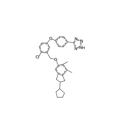 Cc1c(OCc2cc(Oc3ccc(-c4nn[nH]n4)cc3)ccc2Cl)cc2c(c1C)CC(C1CCCC1)C2